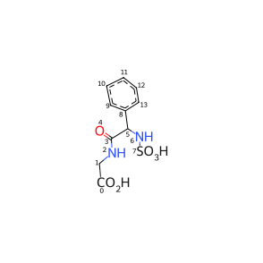 O=C(O)CNC(=O)C(NS(=O)(=O)O)c1ccccc1